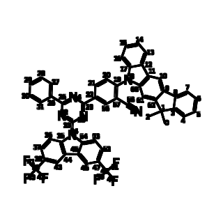 CC1(C)c2ccccc2-c2cc3c4ccccc4n(-c4ccc(-c5nc(-c6ccccc6)nc(-n6c7ccc(C(F)(F)F)cc7c7cc(C(F)(F)F)ccc76)n5)cc4C#N)c3cc21